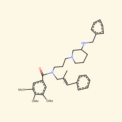 COc1cc(C(=O)N(CCCN2CCCC(NCc3ccccc3)C2)C/C(C)=C/c2ccccc2)cc(OC)c1OC